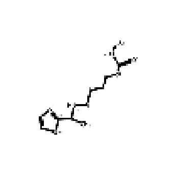 CC(NCCCCNC(=O)OC(C)(C)C)c1nccs1